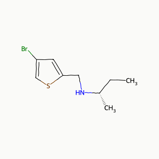 CC[C@H](C)NCc1cc(Br)cs1